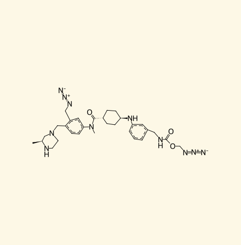 C[C@H]1CN(Cc2ccc(N(C)C(=O)[C@H]3CC[C@H](Nc4cccc(CNC(=O)OCN=[N+]=[N-])c4)CC3)cc2CN=[N+]=[N-])CCN1